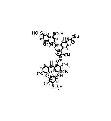 Cc1c(C#N)c(Nc2ccc(Cl)c(S(=O)(=O)O)c2)nc(Nc2ccc(Cl)c(S(=O)(=O)O)c2)c1N=Nc1sc(N=Nc2cc(S(=O)(=O)O)c3cc(S(=O)(=O)O)cc(S(=O)(=O)O)c3c2)c(-c2ccc(NC(=O)C(C)(C)C)cc2)c1C#N